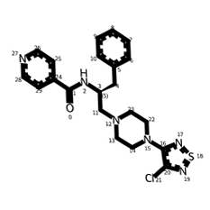 O=C(N[C@@H](Cc1ccccc1)CN1CCN(c2nsnc2Cl)CC1)c1ccncc1